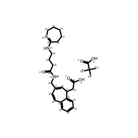 O=C(O)C(F)(F)F.O=C(O)CC1C=C(CNC(=O)CCCNC2=NCCCCC2)C=Cc2ccccc21